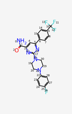 NC(=O)c1cc(-c2ccc(C(F)(F)F)cc2)nc(N2CCN(c3ccc(F)cc3)CC2)n1